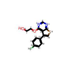 OCCOc1ncnc2scc(-c3ccc(F)cc3)c12